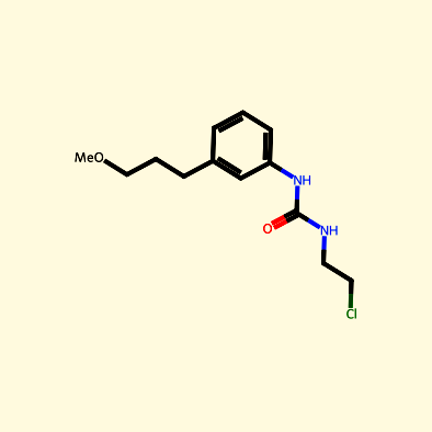 COCCCc1cccc(NC(=O)NCCCl)c1